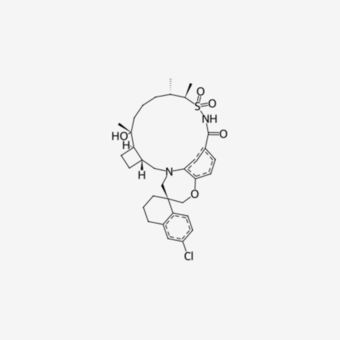 C[C@@H]1[C@@H](C)CCC[C@@](C)(O)[C@@H]2CC[C@H]2CN2C[C@@]3(CCCc4cc(Cl)ccc43)COc3ccc(cc32)C(=O)NS1(=O)=O